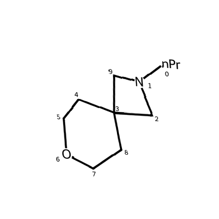 CCCN1CC2(CCOCC2)C1